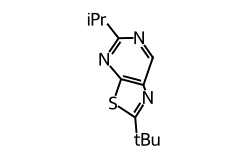 CC(C)c1ncc2nc(C(C)(C)C)sc2n1